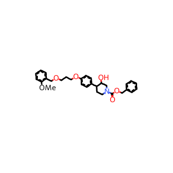 COc1ccccc1COCCCOc1ccc(C2CCN(C(=O)OCc3ccccc3)CC2O)cc1